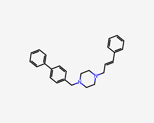 C(=Cc1ccccc1)CN1CCN(Cc2ccc(-c3ccccc3)cc2)CC1